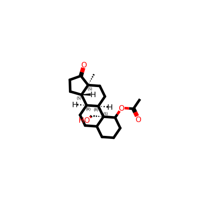 CC(=O)OC1CCCC2CC[C@@H]3[C@@H](CC[C@]4(C)C(=O)CC[C@@H]34)[C@]21CO